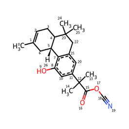 CC1=CCC2[C@@H](C1)c1c(O)cc(C(C)(C)C(=O)OC#N)cc1CC2(C)C